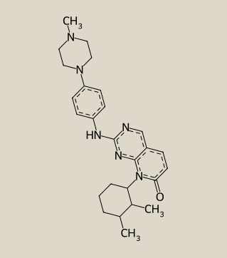 CC1CCCC(n2c(=O)ccc3cnc(Nc4ccc(N5CCN(C)CC5)cc4)nc32)C1C